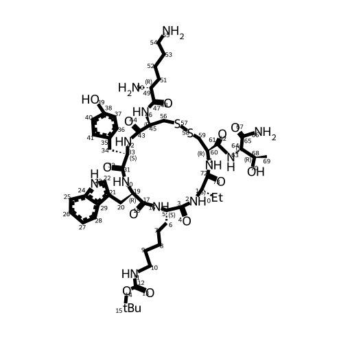 CC[C@@H]1NC(=O)[C@H](CCCCCNC(=O)OC(C)(C)C)NC(=O)[C@@H](Cc2c[nH]c3ccccc23)NC(=O)[C@H](Cc2ccc(O)cc2)NC(=O)[C@@H](NC(=O)[C@H](N)CCCCN)CSSC[C@@H](C(=O)N[C@H](C(N)=O)[C@@H](C)O)NC1=O